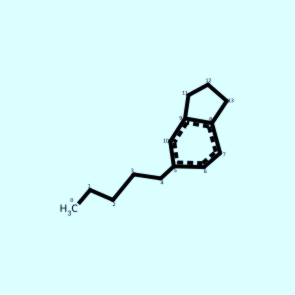 CCCCCc1ccc2c(c1)CCC2